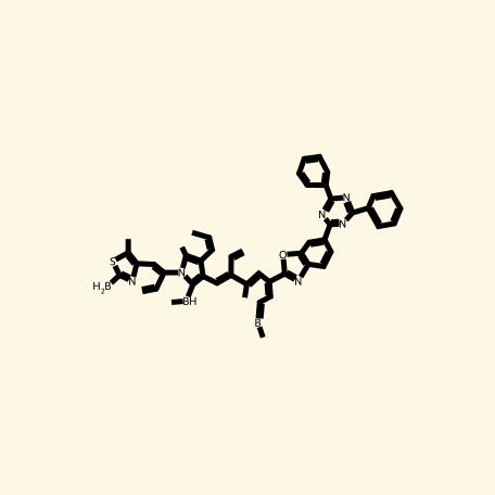 Bc1nc(/C=C(\C=C)n2c(C)c(/C=C\C)c(/C=C(C=C)/C(C)=C/C(=C\C=B/C)c3nc4ccc(-c5nc(-c6ccccc6)nc(-c6ccccc6)n5)cc4o3)c2BC)c(C)s1